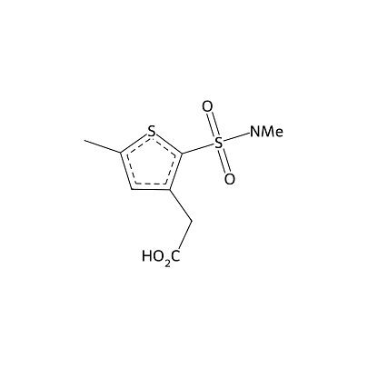 CNS(=O)(=O)c1sc(C)cc1CC(=O)O